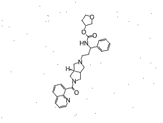 O=C(NC(CCN1CC2CN(C(=O)c3cccc4cccnc34)C[C@@H]2C1)c1ccccc1)OC1CCOC1